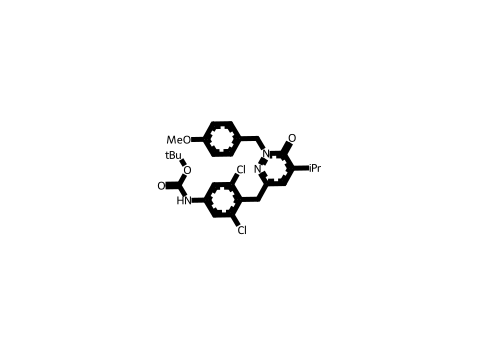 COc1ccc(Cn2nc(Cc3c(Cl)cc(NC(=O)OC(C)(C)C)cc3Cl)cc(C(C)C)c2=O)cc1